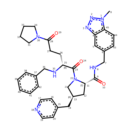 Cn1nnc2cc(CNC(=O)[C@@H]3C[C@@H](Cc4ccncc4)CN3C(=O)[C@@H](CCC(=O)N3CCCC3)NCc3ccccc3)ccc21